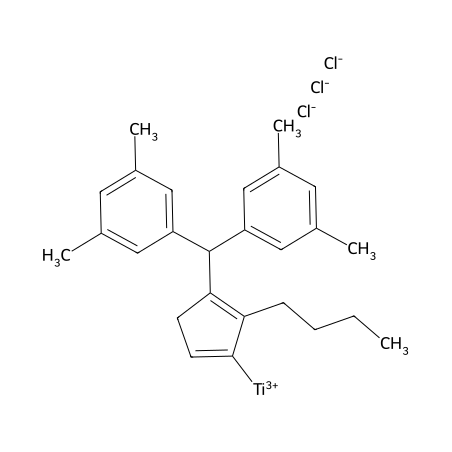 CCCCC1=C(C(c2cc(C)cc(C)c2)c2cc(C)cc(C)c2)CC=[C]1[Ti+3].[Cl-].[Cl-].[Cl-]